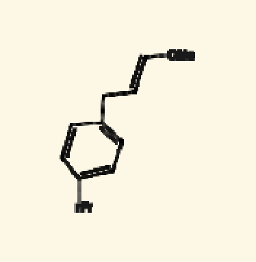 CCCc1ccc(CC=COC)cc1